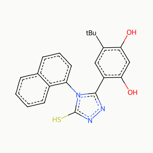 CC(C)(C)c1cc(-c2nnc(S)n2-c2cccc3ccccc23)c(O)cc1O